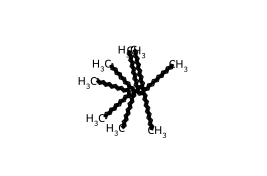 CCCCCCCCCCCCc1cc(C(CCCCCCCCCCCC)(CCCCCCCCCCCC)N(CCCCCCCCCCCC)CCCCCCCCCCCC)c(CCCCCCCCCCCC)c(CCCCCCCCCCCC)c1CCCCCCCCCCCC